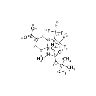 CN(C(=O)OC(C)(C)C)C1(C)CCN(C(=O)O)CC1C(C(F)(F)F)C(F)(F)F